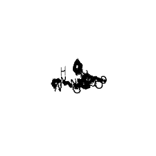 COC(=O)CC1CN(c2ccccc2)c2cc(C(=O)NCCCNc3ccccn3)ccc2O1